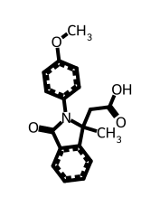 COc1ccc(N2C(=O)c3ccccc3C2(C)CC(=O)O)cc1